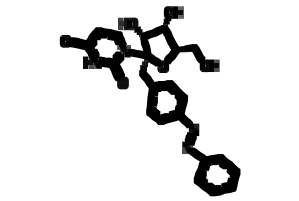 O=c1ccn([C@]2(Cc3ccc(N=Nc4ccccc4)cc3)O[C@H](CO)[C@@H](O)[C@H]2O)c(=O)[nH]1